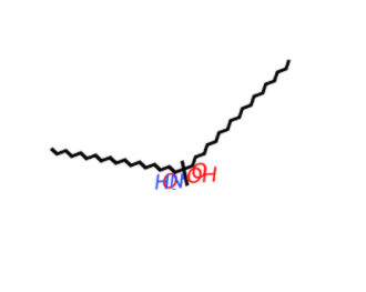 CCCCCCCCCCCCCCCCCC(=O)C(C)(C(=O)CCCCCCCCCCCCCCCCC)C(C)(O)NC